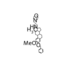 COc1cc2c(cc1OCc1ccccc1)CCC1C2CCC2(C)C(NCCN3CCOCC3)CCC12